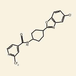 O=C(NC1CCC(c2nc3cc(Cl)ccc3o2)CC1)c1ccnc(C(F)(F)F)c1